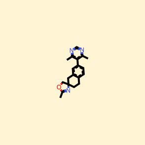 CC1=NC2(CCc3ccc(-c4c(C)ncnc4C)cc3C2)CO1